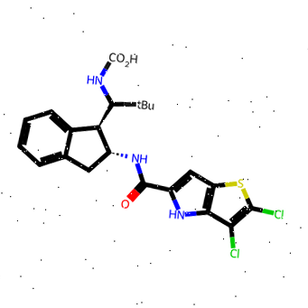 CC(C)(C)C(NC(=O)O)[C@@H]1c2ccccc2C[C@H]1NC(=O)c1cc2sc(Cl)c(Cl)c2[nH]1